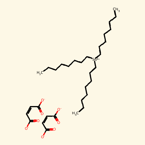 CCCCCCC[CH2][Sn+4]([CH2]CCCCCCC)[CH2]CCCCCCC.O=C([O-])/C=C\C(=O)[O-].O=C([O-])/C=C\C(=O)[O-]